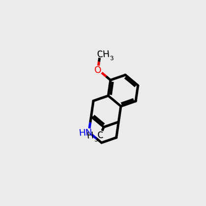 COc1cccc2c1CC1=C(C)C2CCN1